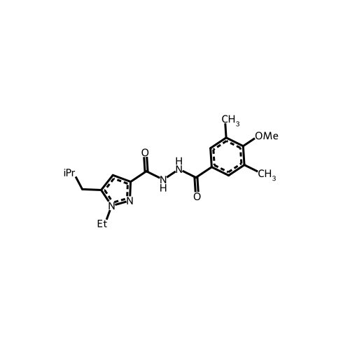 CCn1nc(C(=O)NNC(=O)c2cc(C)c(OC)c(C)c2)cc1CC(C)C